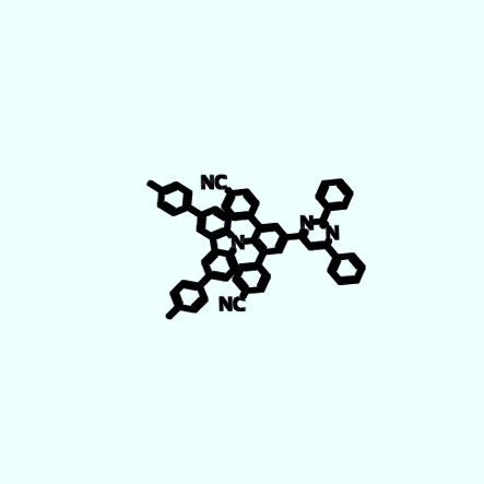 Cc1ccc(-c2ccc3c(c2)c2cc(-c4ccc(C)cc4)ccc2n3-c2c(-c3ccc(C#N)cc3)cc(-c3cc(-c4ccccc4)nc(-c4ccccc4)n3)cc2-c2ccc(C#N)cc2)cc1